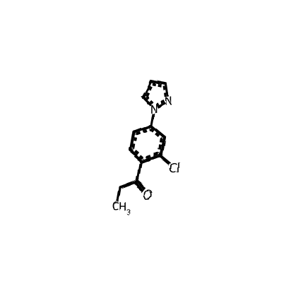 CCC(=O)c1ccc(-n2cccn2)cc1Cl